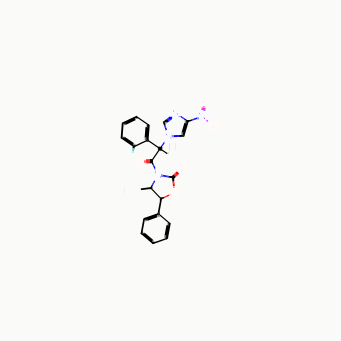 CC1C(c2ccccc2)OC(=O)N1C(=O)C(C)(c1ccccc1F)n1cnc([N+](=O)[O-])c1